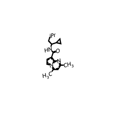 Cc1cc(C)n2ccc(C(=O)NC(CC(C)C)C3CC3)c2n1